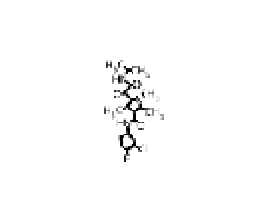 Cc1c(C(=O)Nc2ccc(F)c(Cl)c2)c(C)n(C)c1C(=O)C(=O)NC(C)C